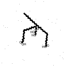 CCCCCCCCCCCCCC(CCCCCCCC/C=C\CCCCCCCC(=O)O)C(CCCCCCCC/C=C\CCCCCCCC(=O)O)C(=O)OCC(O)CO